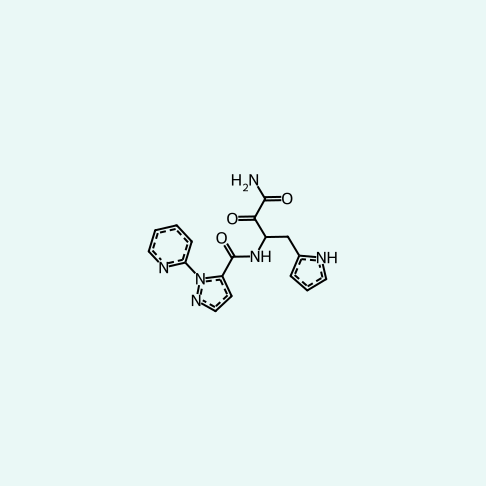 NC(=O)C(=O)C(Cc1ccc[nH]1)NC(=O)c1ccnn1-c1ccccn1